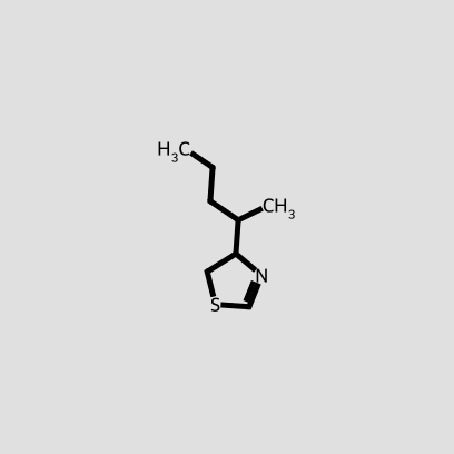 CCCC(C)C1CSC=N1